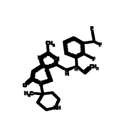 C=C[C@@H](Nc1nc(C)nc2cc(=O)n(C3(C)CCNCC3)cc12)c1cccc(C(F)F)c1F